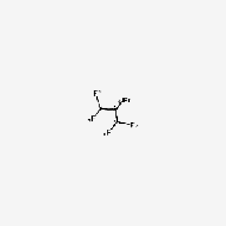 CC(C)C(C(F)F)C(F)F